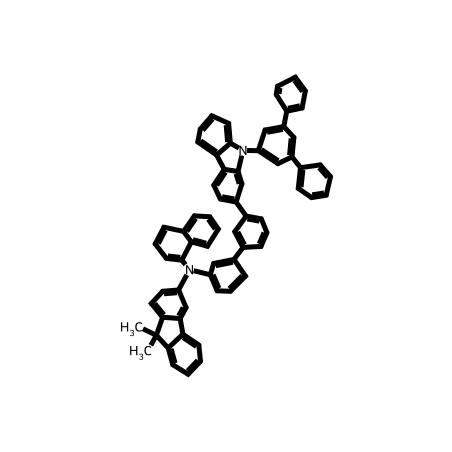 CC1(C)c2ccccc2-c2cc(N(c3cccc(-c4cccc(-c5ccc6c7ccccc7n(-c7cc(-c8ccccc8)cc(-c8ccccc8)c7)c6c5)c4)c3)c3cccc4ccccc34)ccc21